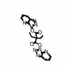 CCC(CC)(C(=O)On1nnc2cccnc21)C(=O)On1nnc2cccnc21